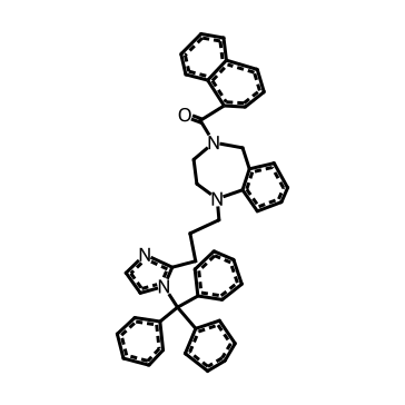 O=C(c1cccc2ccccc12)N1CCN(CCCc2nccn2C(c2ccccc2)(c2ccccc2)c2ccccc2)c2ccccc2C1